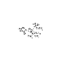 COC1C(OC(C)(C)C)[C@@H](CCP(=O)(O)OC)O[C@H]1n1ccc(=O)[nH]c1=O